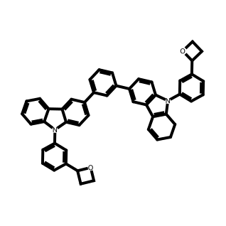 C1=Cc2c(n(-c3cccc(C4CCO4)c3)c3ccc(-c4cccc(-c5ccc6c(c5)c5ccccc5n6-c5cccc(C6CCO6)c5)c4)cc23)CC1